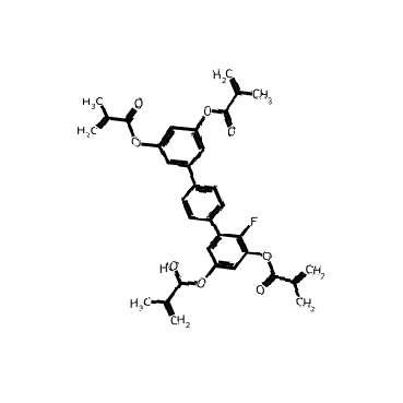 C=C(C)C(=O)Oc1cc(OC(=O)C(=C)C)cc(-c2ccc(-c3cc(OC(O)C(=C)C)cc(OC(=O)C(=C)C)c3F)cc2)c1